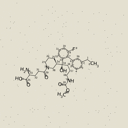 CCc1cccc(-c2c(F)cccc2[C@](O)(CCCNC(=O)OC)[C@@H]2CCCN(C(=O)CC[C@H](N)C(=O)O)C2)c1